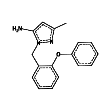 Cc1cc(N)n(Cc2ccccc2Oc2ccccc2)n1